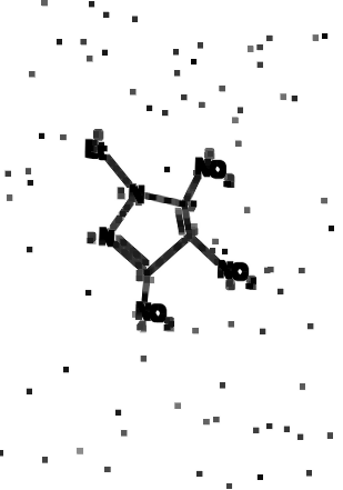 CCn1nc([N+](=O)[O-])c([N+](=O)[O-])c1[N+](=O)[O-]